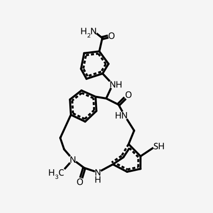 CN1CCc2ccc(cc2)C(Nc2cccc(C(N)=O)c2)C(=O)NCc2cc(ccc2S)NC1=O